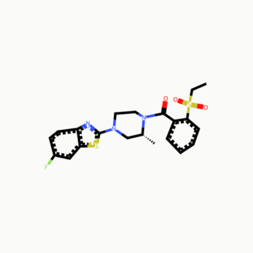 CCS(=O)(=O)c1ccccc1C(=O)N1CCN(c2nc3ccc(F)cc3s2)C[C@H]1C